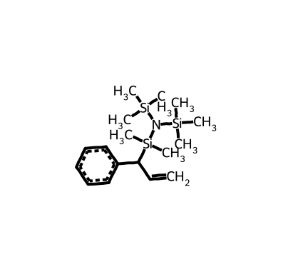 C=CC(c1ccccc1)[Si](C)(C)N([Si](C)(C)C)[Si](C)(C)C